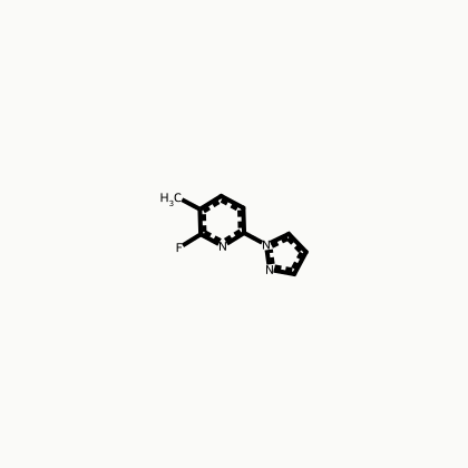 Cc1ccc(-n2cccn2)nc1F